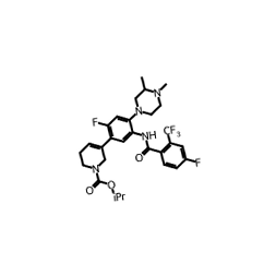 CC(C)OC(=O)N1CCC=C(c2cc(NC(=O)c3ccc(F)cc3C(F)(F)F)c(N3CCN(C)C(C)C3)cc2F)C1